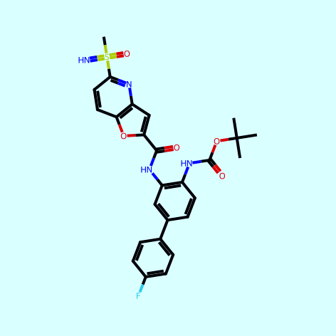 CC(C)(C)OC(=O)Nc1ccc(-c2ccc(F)cc2)cc1NC(=O)c1cc2nc(S(C)(=N)=O)ccc2o1